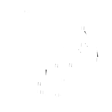 C[C@@H](Oc1nc(N2C[C@H]3CC[C@@H](C2)N3)c2ccc(-c3cc(O)cc4ccccc34)cc2n1)[C@@H]1CCCN1C